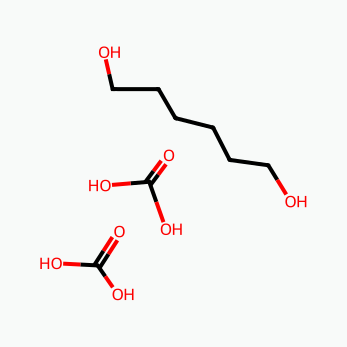 O=C(O)O.O=C(O)O.OCCCCCCO